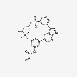 C=CC(=O)Nc1cccc(-c2cnc3[nH]cc(-c4cccc(S(=O)(=O)CCCC(C)C(C)(C)C)c4)c3c2)c1